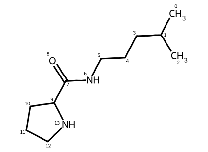 CC(C)CCCNC(=O)C1CCCN1